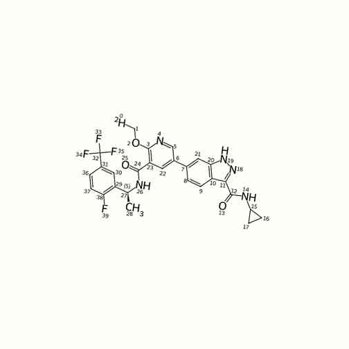 [2H]COc1ncc(-c2ccc3c(C(=O)NC4CC4)n[nH]c3c2)cc1C(=O)N[C@@H](C)c1cc(C(F)(F)F)ccc1F